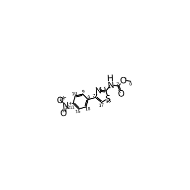 COC(=O)Nc1nc(-c2ccc([N+](=O)[O-])cc2)cs1